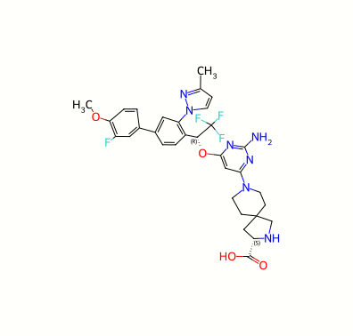 COc1ccc(-c2ccc([C@@H](Oc3cc(N4CCC5(CC4)CN[C@H](C(=O)O)C5)nc(N)n3)C(F)(F)F)c(-n3ccc(C)n3)c2)cc1F